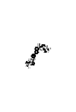 COC(=O)N[C@H](C(=O)N1CCCC1c1nc2c(ccc3cc(-c4ccc5[nH]c([C@@H]6CCCN6C(=O)[C@@H](NC(=O)O)C(C)C)nc5c4)ccc32)[nH]1)C(C)C